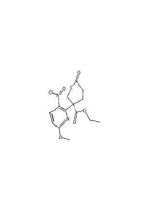 CCOC(=O)C1(c2nc(OC)ccc2[N+](=O)[O-])CCC(=O)CC1